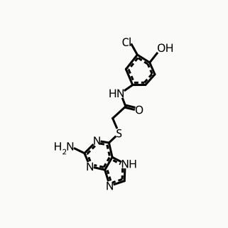 Nc1nc(SCC(=O)Nc2ccc(O)c(Cl)c2)c2[nH]cnc2n1